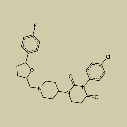 O=C1CCN(C2CCN(CC3CCC(c4ccc(F)cc4)O3)CC2)C(=O)N1c1ccc(Cl)cc1